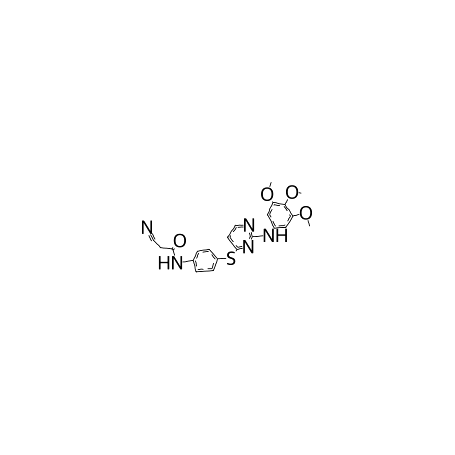 COc1cc(Nc2nccc(Sc3ccc(NC(=O)CC#N)cc3)n2)cc(OC)c1OC